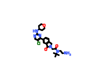 CC(C)(C)N(CCN)C(=O)CN1Cc2ccc(-c3nc(NC4CCOCC4)ncc3Cl)cc2C1=O